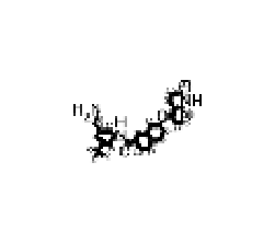 CC(C)(C)c1cc(CCN)cc(NC(=O)C2CCc3ccc(Oc4ccnc5c4CCC(=O)N5)cc3C2)c1